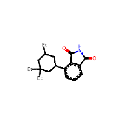 CCC1CC(c2cccc3c2C(=O)NC3=O)CC(CC)(CC)C1